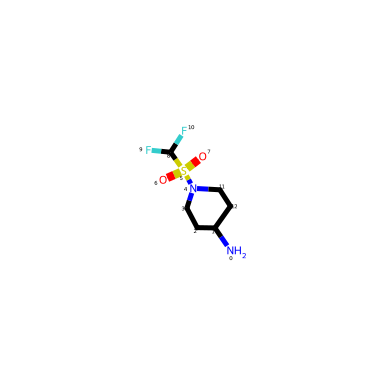 NC1CCN(S(=O)(=O)C(F)F)CC1